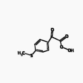 CSc1ccc(C(=O)C(=O)OO)cc1